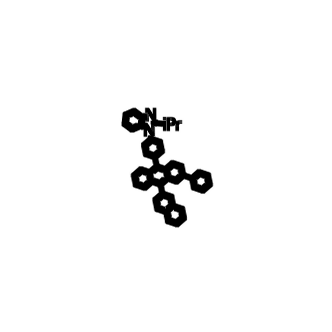 CC(C)c1nc2ccccc2n1-c1ccc(-c2c3ccccc3c(-c3ccc4ccccc4c3)c3cc(-c4ccccc4)ccc23)cc1